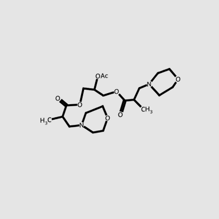 CC(=O)OC(COC(=O)C(C)CN1CCOCC1)COC(=O)C(C)CN1CCOCC1